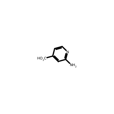 Nc1[c]c(C(=O)O)ccn1